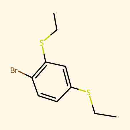 [CH2]CSc1ccc(Br)c(SC[CH2])c1